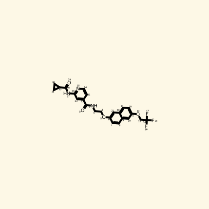 O=C(NCCOc1ccc2cc(OCC(F)(F)F)ccc2c1)c1ccnc(NC(=O)C2CC2)c1